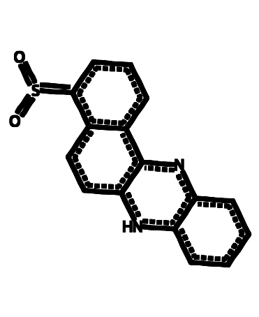 O=S(=O)=c1cccc2c1ccc1[nH]c3ccccc3nc12